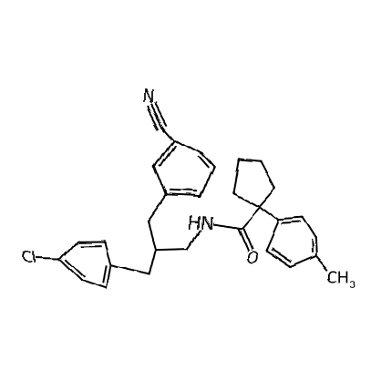 Cc1ccc(C2(C(=O)NCC(Cc3ccc(Cl)cc3)Cc3cccc(C#N)c3)CCCC2)cc1